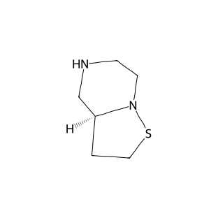 C1CN2SCC[C@H]2CN1